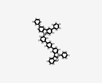 c1ccc(-c2ccc3c(c2)c2cc(-c4ccccc4)ccc2n3-c2cccc(-c3ccc(-c4ccc5c(c4)c4c6ccccc6oc4n5-c4ccccc4)cc3)c2)cc1